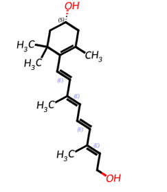 CC1=C(/C=C/C(C)=C/C=C/C(C)=C/CO)C(C)(C)C[C@H](O)C1